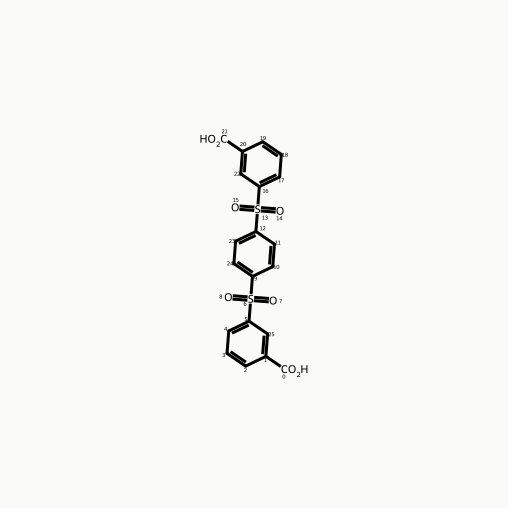 O=C(O)c1cccc(S(=O)(=O)c2ccc(S(=O)(=O)c3cccc(C(=O)O)c3)cc2)c1